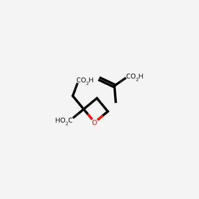 C=C(C)C(=O)O.O=C(O)CC1(C(=O)O)CCO1